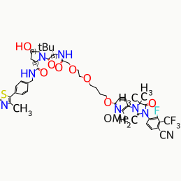 C=C1N(c2ccc(C#N)c(C(F)(F)F)c2F)C(=O)C(C)(C)N1c1ccc(OCCCCOCCOCC(=O)N[C@H](C(=O)N2C[C@H](O)C[C@H]2C(=O)NCc2ccc(-c3scnc3C)cc2)C(C)(C)C)nc1OC